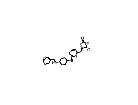 O=C1NC(=O)/C(=C/c2ccnc(NC3CCC(NCc4cncnc4)CC3)n2)S1